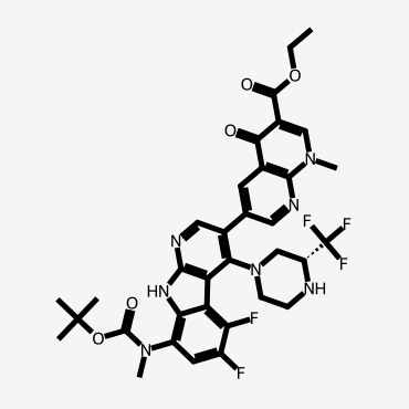 CCOC(=O)c1cn(C)c2ncc(-c3cnc4[nH]c5c(N(C)C(=O)OC(C)(C)C)cc(F)c(F)c5c4c3N3CCN[C@@H](C(F)(F)F)C3)cc2c1=O